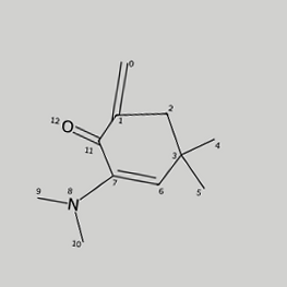 C=C1CC(C)(C)C=C(N(C)C)C1=O